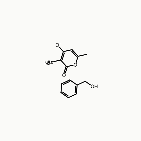 CC(=O)c1c([O-])cc(C)oc1=O.OCc1ccccc1.[Na+]